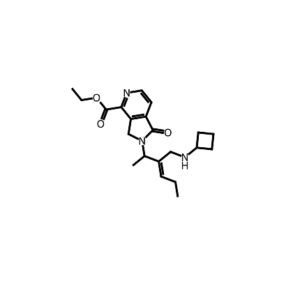 CC/C=C(\CNC1CCC1)C(C)N1Cc2c(ccnc2C(=O)OCC)C1=O